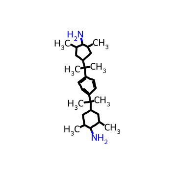 CC1CC(C(C)(C)c2ccc(C(C)(C)C3CC(C)C(N)C(C)C3)cc2)CC(C)C1N